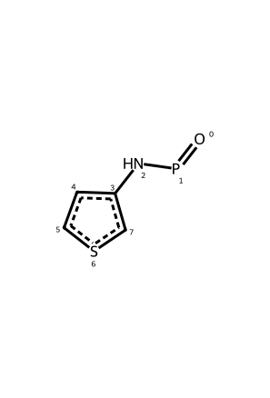 O=PNc1ccsc1